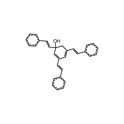 OC1(/C=C/c2ccccc2)C=C(/C=C/c2ccccc2)C=C(/C=C/c2ccccc2)C1